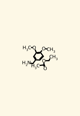 CCOC(C)=O.COc1ccc(CN)cc1OC